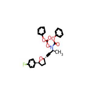 C[C@@H](C#C[C@@H]1CC[C@@H](c2ccc(F)cc2)O1)N(OC(=O)Oc1ccccc1)C(=O)Oc1ccccc1